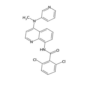 CN(c1cccnc1)c1ccnc2c(NC(=O)c3c(Cl)cccc3Cl)cccc12